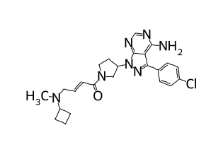 CN(C/C=C/C(=O)N1CCC(n2nc(-c3ccc(Cl)cc3)c3c(N)ncnc32)C1)C1CCC1